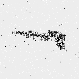 CC(C)(COP(=O)(O)OP(=O)(O)OC[C@H]1O[C@@H](n2cnc3c(N)ncnc32)[C@H](O)[C@@H]1OP(=O)(O)O)C(O)C(=O)NCCC(=O)NCC[SH](N)C(=O)CCCCCN